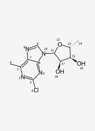 Cc1nc(Cl)nc2c1ncn2C1O[C@H](C)[C@@H](O)[C@H]1O